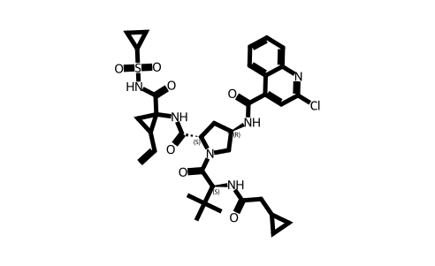 C=CC1CC1(NC(=O)[C@@H]1C[C@@H](NC(=O)c2cc(Cl)nc3ccccc23)CN1C(=O)[C@@H](NC(=O)CC1CC1)C(C)(C)C)C(=O)NS(=O)(=O)C1CC1